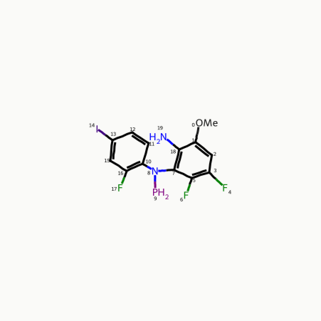 COc1cc(F)c(F)c(N(P)c2ccc(I)cc2F)c1N